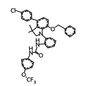 CC1(C)CN(c2ccccc2NC(=O)Nc2ccc(OC(F)(F)F)cc2)c2c(OCc3ccccc3)ccc(-c3ccc(Cl)cc3)c21